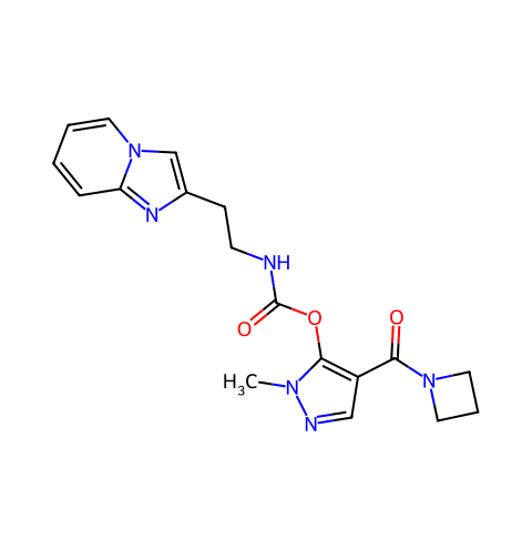 Cn1ncc(C(=O)N2CCC2)c1OC(=O)NCCc1cn2ccccc2n1